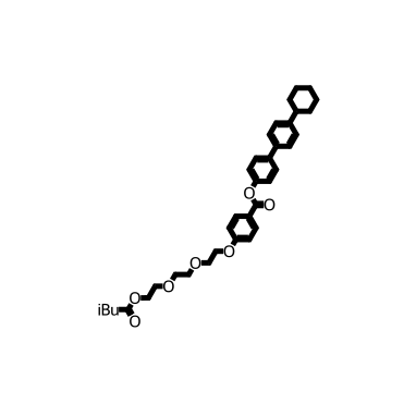 CCC(C)C(=O)OCCOCCOCCOc1ccc(C(=O)Oc2ccc(-c3ccc(C4CCCCC4)cc3)cc2)cc1